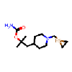 CC(C)(CC1CCN(C[SH]2CC2)CC1)OC(N)=O